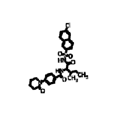 CCC(C)C(NC(=O)c1ccc(N2CCCCC2=O)cc1)C(=O)NS(=O)(=O)c1ccc2cc(Cl)ccc2c1